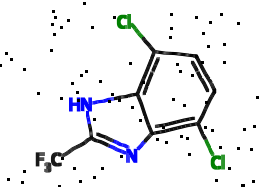 FC(F)(F)c1nc2c(Cl)ccc(Cl)c2[nH]1